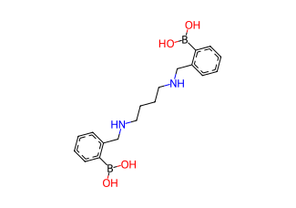 OB(O)c1ccccc1CNCCCCNCc1ccccc1B(O)O